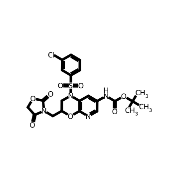 CC(C)(C)OC(=O)Nc1cnc2c(c1)N(S(=O)(=O)c1cccc(Cl)c1)CC(CN1C(=O)COC1=O)O2